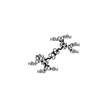 CCCCOCN(COCCCC)c1nc(CCC2OCC3(CO2)COC(CCc2nc(N(COCCCC)COCCCC)nc(N(COCCCC)COCCCC)n2)OC3)nc(N(COCCCC)COCCCC)n1